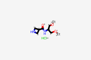 CCOCC(COCC)NC(=O)C1CNC1.Cl